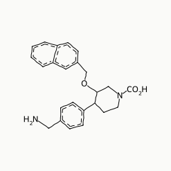 NCc1ccc(C2CCN(C(=O)O)CC2OCc2ccc3ccccc3c2)cc1